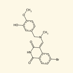 COc1ccc(CN(C)C=C2C(=O)NC(=O)c3ccc(Br)cc32)cc1O